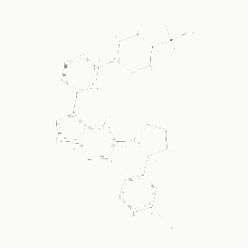 CC(C)(O)C1CCN(c2cccc(-c3cnc4ccc(N5CCCC5c5cccc(F)c5)nn34)n2)CC1